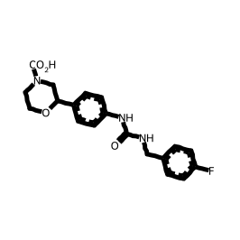 O=C(NCc1ccc(F)cc1)Nc1ccc(C2CN(C(=O)O)CCO2)cc1